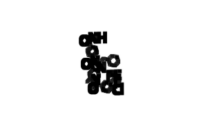 CNC(=O)c1ccc(-n2c(CC3CCCCC3)nc3c(c2=O)CC(C)N(C(=O)c2ccc(Cl)c(C(F)(F)F)c2)C3)cc1